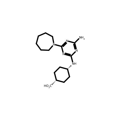 Nc1nc(N[C@H]2CC[C@@H](C(=O)O)CC2)nc(N2CCCCCC2)n1